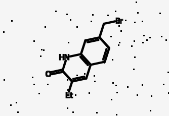 CCc1cc2ccc(CBr)cc2[nH]c1=O